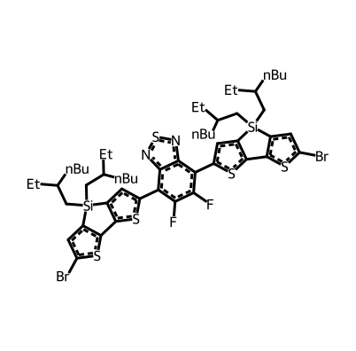 CCCCC(CC)C[Si]1(CC(CC)CCCC)c2cc(Br)sc2-c2sc(-c3c(F)c(F)c(-c4cc5c(s4)-c4sc(Br)cc4[Si]5(CC(CC)CCCC)CC(CC)CCCC)c4nsnc34)cc21